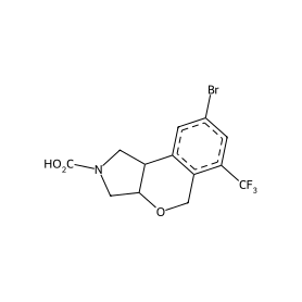 O=C(O)N1CC2OCc3c(cc(Br)cc3C(F)(F)F)C2C1